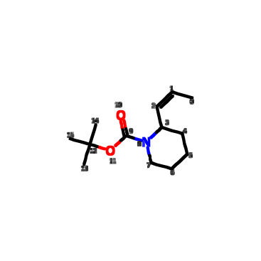 C/C=C\C1CCCCN1C(=O)OC(C)(C)C